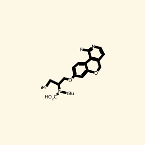 CC(C)CC(COc1ccc2c(c1)OCc1ccnc(F)c1-2)N(C(=O)O)C(C)(C)C